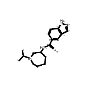 CC(C)N1CCCCC(NC(=O)c2ccc3[nH]ncc3c2)C1